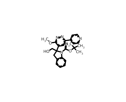 COc1nnc(-c2ccncc2)cc1C1(CO)Cc2ccccc2N1C(=O)OC(C)(C)C